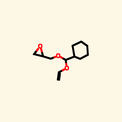 C=COC(OCC1CO1)C1CCCCC1